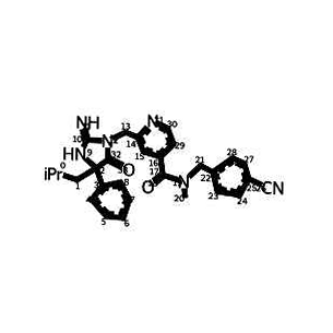 CC(C)CC1(c2ccccc2)NC(=N)N(Cc2cc(C(=O)N(C)Cc3ccc(C#N)cc3)ccn2)C1=O